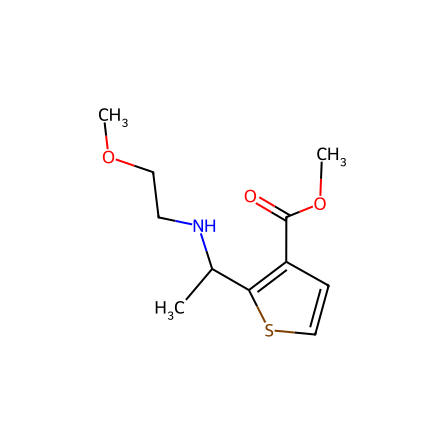 COCCNC(C)c1sccc1C(=O)OC